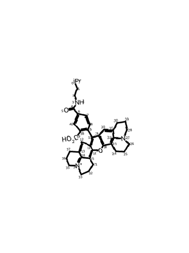 CC(C)CCNC(=O)c1ccc(C2=c3cc4c5c(c3Oc3c2cc2c6c3CCCN6CCC2)CCC[N+]=5CCC4)c(C(=O)O)c1